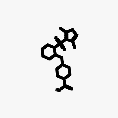 Cc1noc(C)c1S(=O)(=O)N1CCCCC1CN1CCN(C(=O)O)CC1